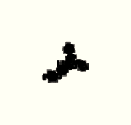 O=C(Nc1ccc(Oc2ccc(F)cc2)cc1)[C@@H]1C[C@@H](c2ccccc2)CN1C(=O)Cn1cncn1